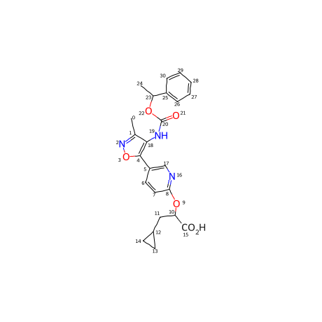 Cc1noc(-c2ccc(OC(CC3CC3)C(=O)O)nc2)c1NC(=O)OC(C)c1ccccc1